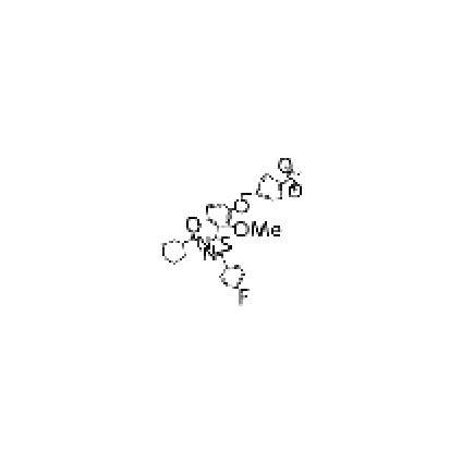 COc1c(OCc2ccc(S(C)(=O)=O)cc2)cccc1C1SC(c2ccc(F)cc2)=NN1C(=O)C1CCCCC1